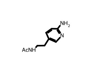 CC(=O)NCCc1ccc(N)nc1